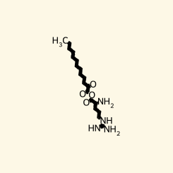 CCCCCCCCCCCC(=O)C(=O)OC(=O)[C@@H](N)CCCNC(=N)N